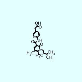 CCc1c(C)cc(C(=O)Nc2ccc(CC(=O)O)cn2)c(=O)n1CCC(C)C